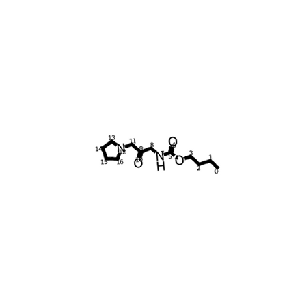 CCCCOC(=O)NCC(=O)CN1CCCC1